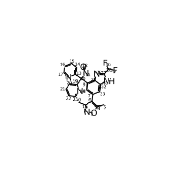 Cc1noc(C)c1-c1cc(C(N=O)(c2ccccn2)c2ccccn2)c2nc(C(F)F)[nH]c2c1